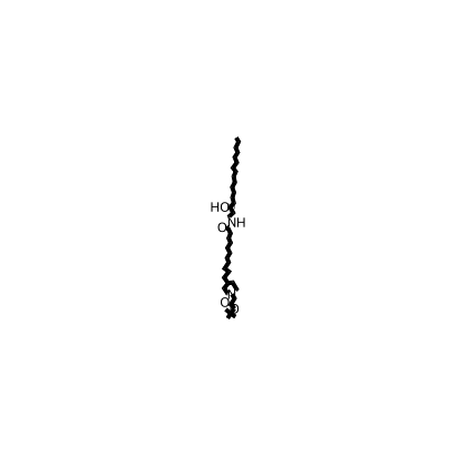 CCCCCCCCCCCCCC[C@@H](O)CCNC(=O)CCCCCCCCCCC1CCN(CC(=O)OC(C)(C)C)CC1